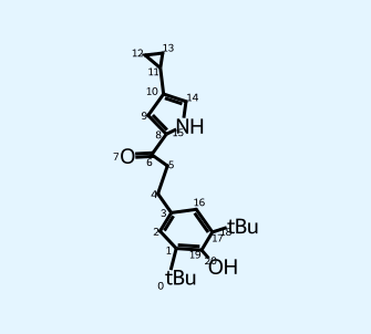 CC(C)(C)c1cc(CCC(=O)c2cc(C3CC3)c[nH]2)cc(C(C)(C)C)c1O